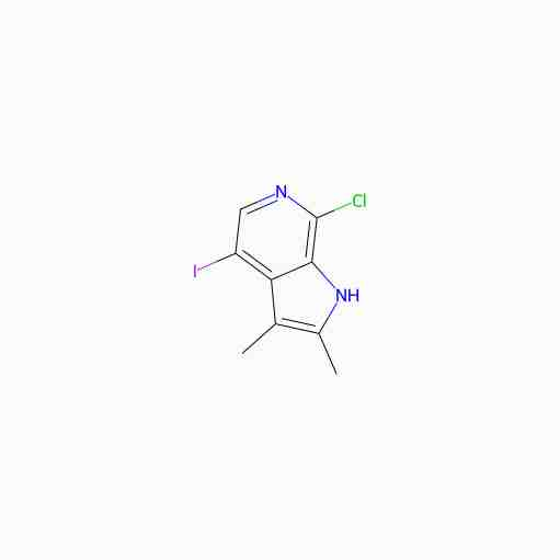 Cc1[nH]c2c(Cl)ncc(I)c2c1C